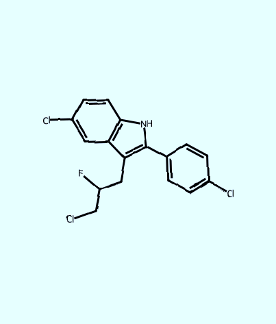 FC(CCl)Cc1c(-c2ccc(Cl)cc2)[nH]c2ccc(Cl)cc12